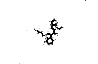 CCn1c(C(=O)c2cn(CCCCl)c3ccccc23)cc2ccsc21